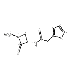 O=C(Cc1ccco1)N[C@H]1CN(S(=O)(=O)O)C1=O